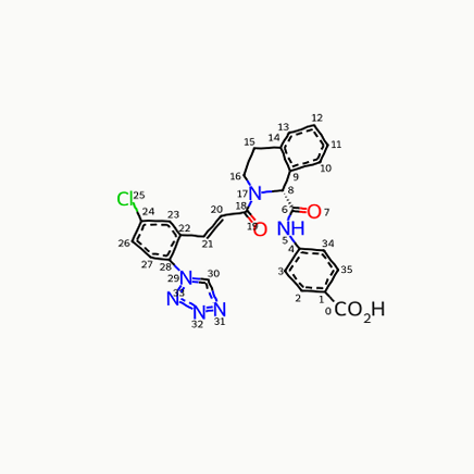 O=C(O)c1ccc(NC(=O)[C@H]2c3ccccc3CCN2C(=O)C=Cc2cc(Cl)ccc2-n2cnnn2)cc1